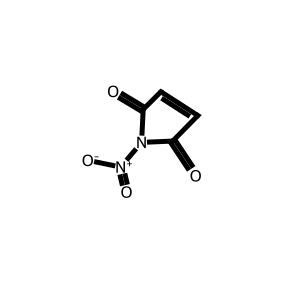 O=C1C=CC(=O)N1[N+](=O)[O-]